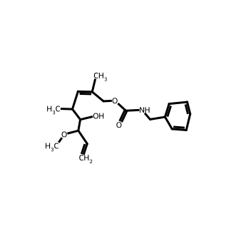 C=CC(OC)C(O)C(C)/C=C(/C)COC(=O)NCc1ccccc1